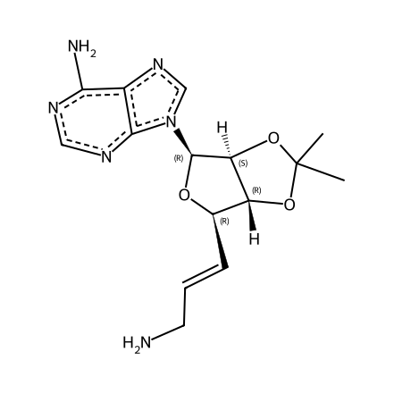 CC1(C)O[C@H]2[C@H](O1)[C@@H](C=CCN)O[C@H]2n1cnc2c(N)ncnc21